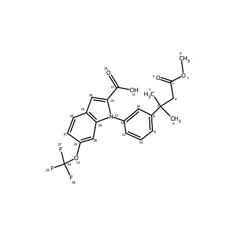 COC(=O)CC(C)(C)c1cccc(-n2c(C(=O)O)cc3ccc(OC(F)(F)F)cc32)c1